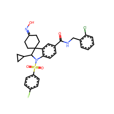 O=C(NCc1ccccc1Cl)c1ccc2c(c1)C1(CCC(=NO)CC1)C(C1CC1)N2S(=O)(=O)c1ccc(F)cc1